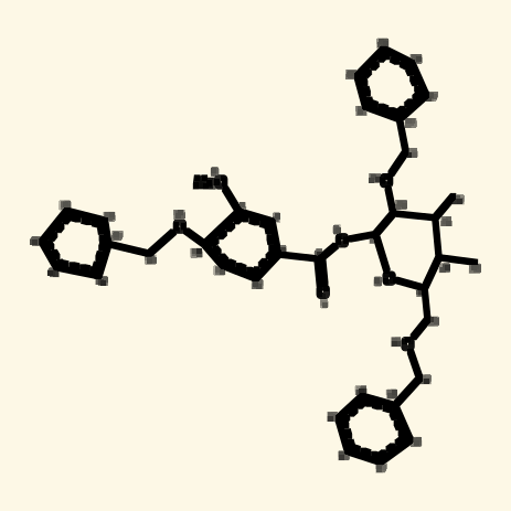 COc1cc(C(=O)OC2OC(COCc3ccccc3)C(C)C(C)C2OCc2ccccc2)ccc1OCc1ccccc1